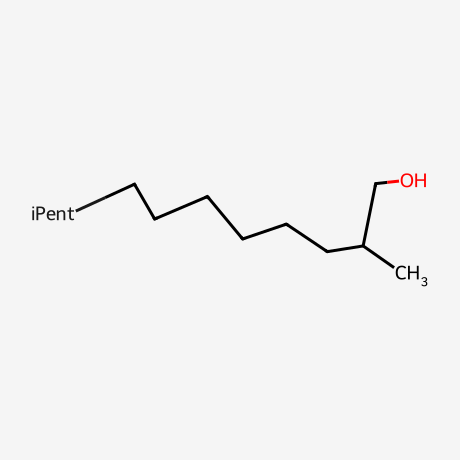 CCCC(C)CCCCCCC(C)CO